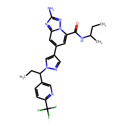 CCC(C)NC(=O)c1cc(-c2cnn(C(CC)c3ccc(C(F)(F)F)nc3)c2)cc2nc(N)nn12